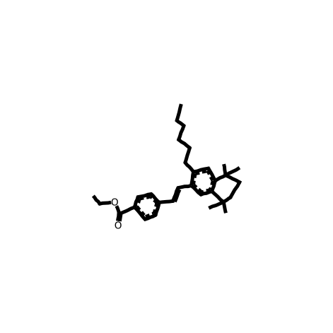 CCCCCCc1cc2c(cc1C=Cc1ccc(C(=O)OCC)cc1)C(C)(C)CCC2(C)C